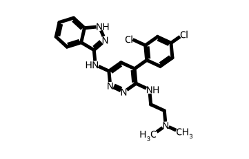 CN(C)CCNc1nnc(Nc2n[nH]c3ccccc23)cc1-c1ccc(Cl)cc1Cl